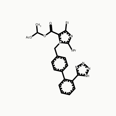 CCCc1nc(CC)c(C(=O)OC(C)OC(C)=O)n1Cc1ccc(-c2ccccc2-c2nnn[nH]2)cc1